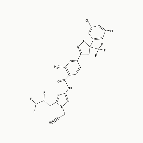 C#CCn1nc(NC(=O)c2ccc(C3=NOC(c4cc(Cl)cc(Cl)c4)(C(F)(F)F)C3)cc2C)nc1CC(F)C(F)F